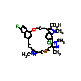 Cc1nn(C)c2c1CSCc1cc(n(C)n1)CCc1cc(c3ccc(F)cc3c1)OCCCc1c(C(=O)O)n(C)c3c-2c(Cl)ccc13